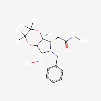 CNC(=O)C[C@@H]1[C@H]2OC(C)(C)C(C)(C)O[C@@H]2[C@@H](CO)N1Cc1ccccc1